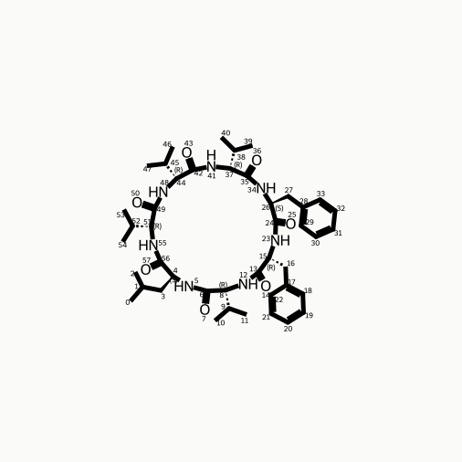 CC(C)C[C@@H]1NC(=O)[C@@H](C(C)C)NC(=O)[C@@H](Cc2ccccc2)NC(=O)[C@H](Cc2ccccc2)NC(=O)[C@@H](C(C)C)NC(=O)[C@@H](C(C)C)NC(=O)[C@@H](C(C)C)NC1=O